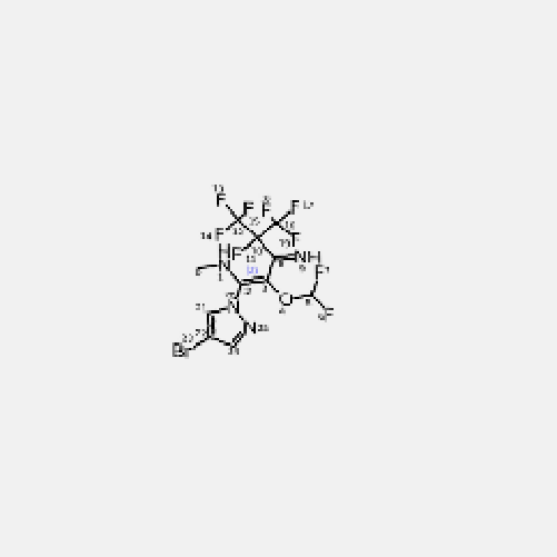 CN/C(=C(/OC(F)F)C(=N)C(F)(C(F)(F)F)C(F)(F)F)n1cc(Br)cn1